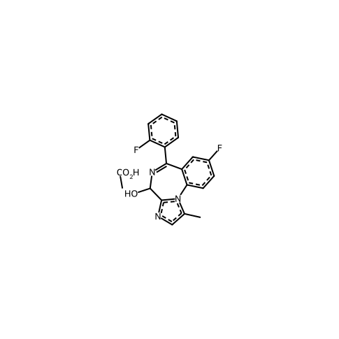 CC(=O)O.Cc1cnc2n1-c1ccc(F)cc1C(c1ccccc1F)=NC2O